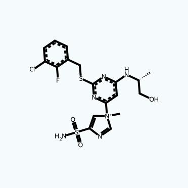 C[C@H](CO)Nc1cc([N+]2(C)C=NC(S(N)(=O)=O)=C2)nc(SCc2cccc(Cl)c2F)n1